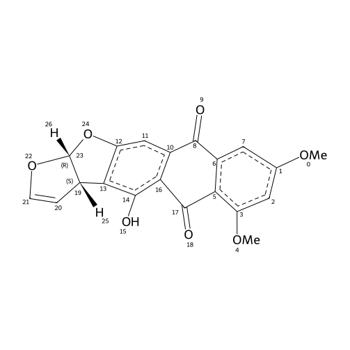 COc1cc(OC)c2c(c1)C(=O)c1cc3c(c(O)c1C2=O)[C@@H]1C=CO[C@@H]1O3